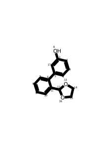 Oc1cccc(-c2ccccc2C2OCCO2)c1